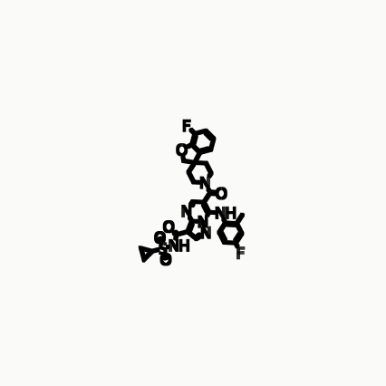 Cc1cc(F)ccc1Nc1c(C(=O)N2CCC3(CC2)COc2c(F)cccc23)cnc2c(C(=O)NS(=O)(=O)C3CC3)cnn12